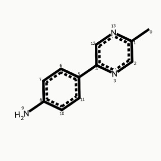 Cc1cnc(-c2ccc(N)cc2)cn1